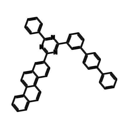 c1ccc(-c2ccc(-c3cccc(-c4nc(-c5ccccc5)nc(-c5ccc6c(ccc7c8ccccc8ccc67)c5)n4)c3)cc2)cc1